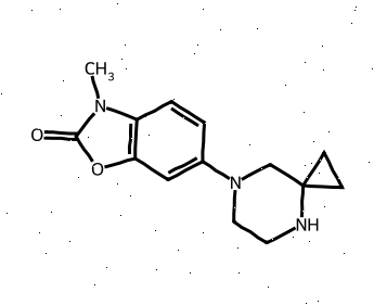 Cn1c(=O)oc2cc(N3CCNC4(CC4)C3)ccc21